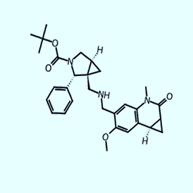 COc1cc2c(cc1CNC[C@]13C[C@@H]1CN(C(=O)OC(C)(C)C)[C@H]3c1ccccc1)N(C)C(=O)C1C[C@@H]21